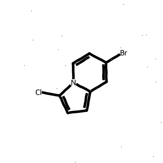 Clc1ccc2cc(Br)ccn12